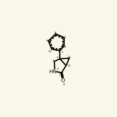 O=C1NCC2(c3ccccc3)CC12